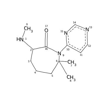 CNC1CCCC(C)(C)N(c2ccncn2)C1=O